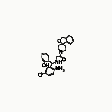 Nc1ccc(Cl)cc1C(NCC(=O)N1CCC2(CC1)OCc1ccccc12)c1ccccc1O